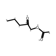 CCCC(=O)COC(C)=O